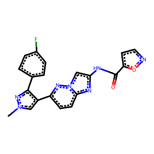 Cn1cc(-c2ccc3nc(NC(=O)c4ccno4)cn3n2)c(-c2ccc(F)cc2)n1